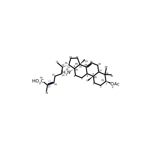 CC(=O)O[C@H]1CC[C@]2(C)C3CC[C@@]4(N)[C@H](C(C)CC/C=C(/C)C(=O)O)CC[C@]4(C)C3=CCC2C1(C)C